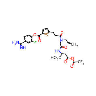 C=CCN(CC(=O)N[C@@H](CC(=O)OC(=O)C(F)(F)F)C(=O)O)C(=O)CCc1ccc(C(=O)Oc2ccc(C(=N)N)cc2F)s1